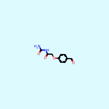 NC(=O)NC(=O)COc1ccc(C=O)cc1